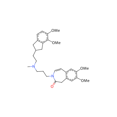 COc1cc2c(cc1OC)CC(=O)N(CCCN(C)CCC1Cc3ccc(OC)c(OC)c3C1)C=C2